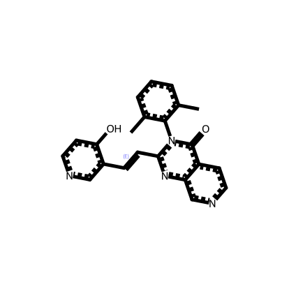 Cc1cccc(C)c1-n1c(/C=C/c2cnccc2O)nc2cnccc2c1=O